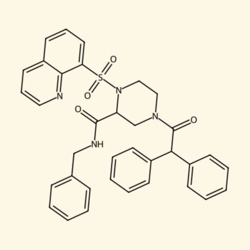 O=C(NCc1ccccc1)C1CN(C(=O)C(c2ccccc2)c2ccccc2)CCN1S(=O)(=O)c1cccc2cccnc12